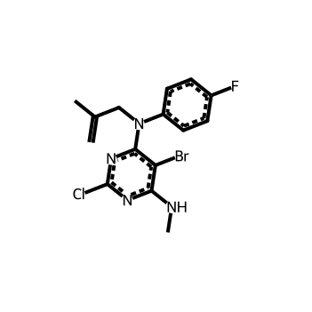 C=C(C)CN(c1ccc(F)cc1)c1nc(Cl)nc(NC)c1Br